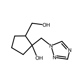 OCC1CCCC1(O)Cn1cncn1